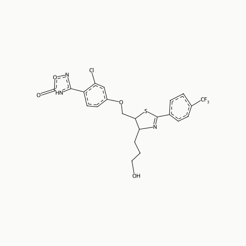 O=c1[nH]c(-c2ccc(OCC3SC(c4ccc(C(F)(F)F)cc4)=NC3CCCO)cc2Cl)no1